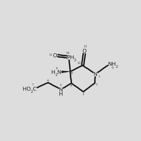 NN1CCC(NCC(=O)O)[C@](N)([PH2]=O)C1=O